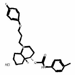 Cc1ccc(NC(=O)O[C@H]2CCN(CCCOc3ccc(F)cc3)C3CCCC[C@H]32)cc1.Cl